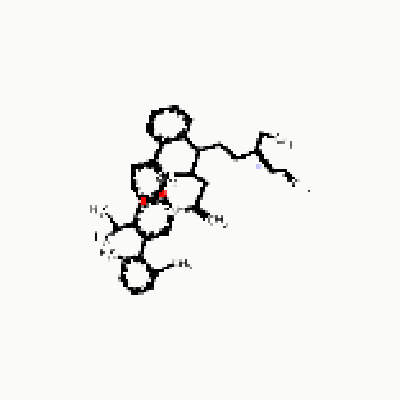 C=C/C=C(\CC)CCC1c2ccccc2-c2cccc[n+]2C1CC(=C)[n+]1cc(-c2c(C)cccc2C)c(C(C)C)cc1C